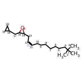 CC(C)(C)CCCCCCC/C=C\CC1OC1CC1CC1